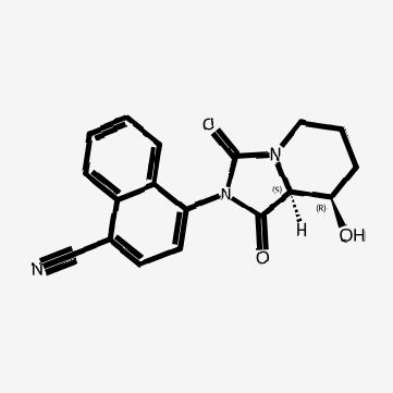 N#Cc1ccc(N2C(=O)[C@@H]3[C@H](O)CCCN3C2=O)c2ccccc12